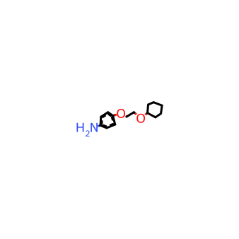 Nc1ccc(OCCOC2CCCCC2)cc1